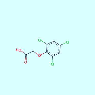 O=C(O)COc1c(Cl)cc(Cl)cc1Cl